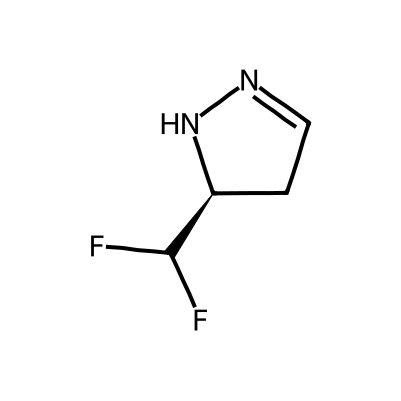 FC(F)[C@@H]1CC=NN1